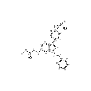 COC(=O)CCc1ccc2c(c1)c(CCc1ccccc1)cn2-c1ccc(NC(C)=O)cn1